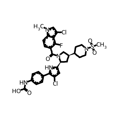 Cn1cc(Cl)c2c(F)c(C(=O)N3C[C@@H](C4CCN(S(C)(=O)=O)CC4)C[C@H]3c3cc(Cl)c(-c4ccc(NC(=O)O)cc4)[nH]3)ccc21